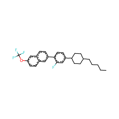 CCCCCC1CCC(c2ccc(-c3ccc4cc(OC(F)(F)F)ccc4c3)c(F)c2)CC1